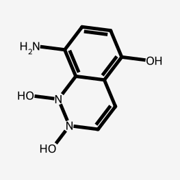 Nc1ccc(O)c2c1N(O)N(O)C=C2